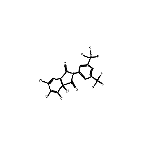 O=C1C2C=C(Cl)C(Cl)=C(Cl)C2(Cl)C(=O)N1c1cc(C(F)(F)F)cc(C(F)(F)F)c1